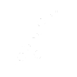 CC(C)CN(C)Cc1ccc2c(c1)OCCC2NC(=O)CC(NS(=O)(=O)c1ccc(F)c(F)c1)c1ccccc1